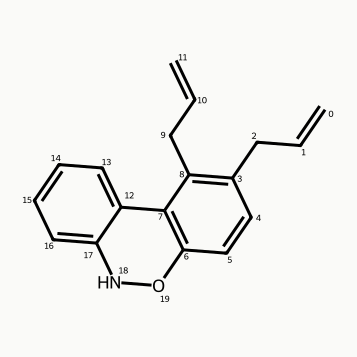 C=CCc1ccc2c(c1CC=C)-c1ccccc1NO2